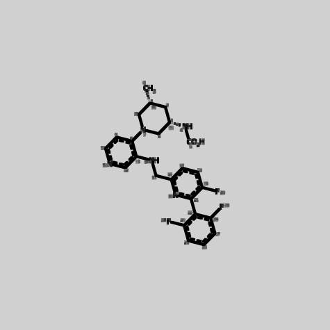 C[C@@H]1C[C@H](NC(=O)O)CN(c2ccncc2NCc2ccc(F)c(-c3c(F)cccc3F)n2)C1